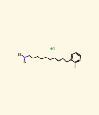 CCN(CC)CCCCCCCCCCc1ccccc1C.Cl